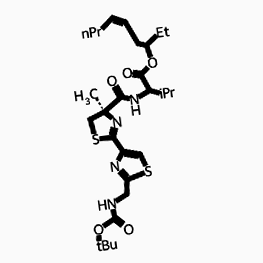 CCC/C=C\CC(CC)OC(=O)C(NC(=O)[C@]1(C)CSC(c2csc(CNC(=O)OC(C)(C)C)n2)=N1)C(C)C